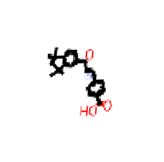 CC1(C)CC(C)(C)c2cc(C(=O)/C=C/c3ccc(C(=O)O)cc3)ccc21